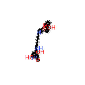 O=C(OCC1CCN(CCCCCCCCCNC[C@H](O)c2ccc(O)c3[nH]c(=O)ccc23)CC1)C(O)(c1ccccc1)C1CCCC1